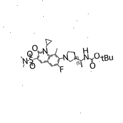 Cc1c(N2CC[C@@H]([C@H](C)NC(=O)OC(C)(C)C)C2)c(F)cc2cc(S(=O)(=O)N(C)C)c(=O)n(C3CC3)c12